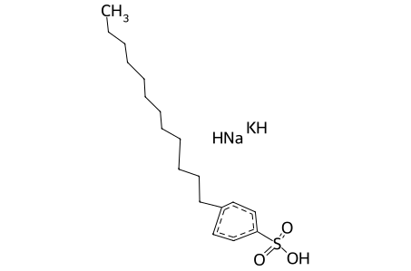 CCCCCCCCCCCCc1ccc(S(=O)(=O)O)cc1.[KH].[NaH]